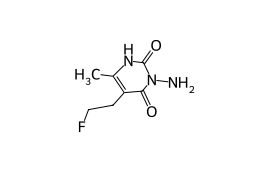 Cc1[nH]c(=O)n(N)c(=O)c1CCF